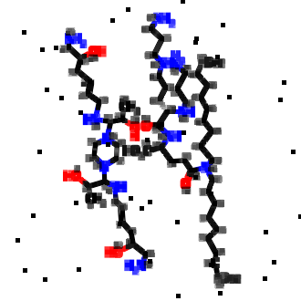 CC(O)C(NC/C=C/CC(O)CN)N1CCN(C(NC/C=C/CC(O)CN)C(C)O)CC1.CCCCCCCCCCCCCCCCCCN(CCCCCCCCCCCCCCCCCC)C(=O)CC[C@H](NC(=O)[C@H](CCCNCCCN)NCCCN)C(=O)O